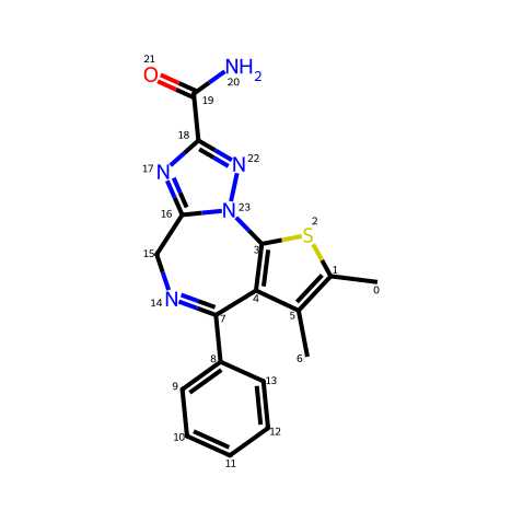 Cc1sc2c(c1C)C(c1ccccc1)=NCc1nc(C(N)=O)nn1-2